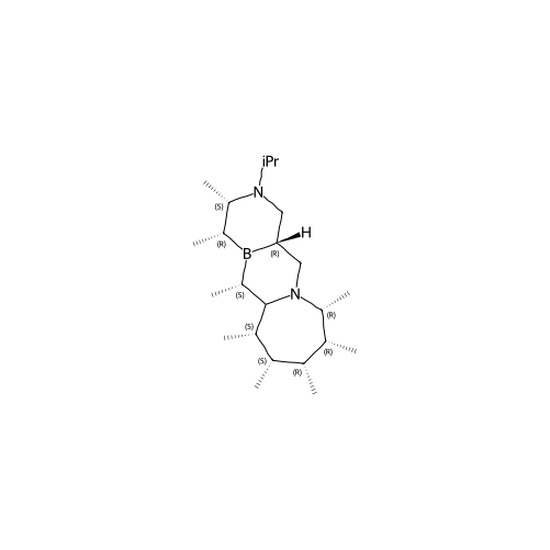 CC(C)N1C[C@@H]2CN3C([C@H](C)B2[C@H](C)[C@@H]1C)[C@@H](C)[C@@H](C)[C@@H](C)[C@@H](C)[C@H]3C